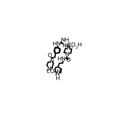 N=C(N)Nc1ccc(CC(=O)N2CCN(C(=O)O)CC2)cc1.O=C(O)N1CCN(C(=O)NCCC2CCNCC2)CC1